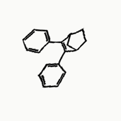 c1ccc(C2=C(c3ccccc3)C3CCC2C3)cc1